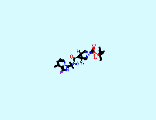 Cc1cccn2c(C(C)(C)NC(=O)[C@H]3[C@@H]4CN(C(=O)OC(C)(C)C)C[C@@H]43)nc(I)c12